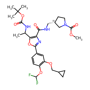 COC(=O)N1CC[C@@H](CNC(=O)c2nc(-c3ccc(OC(F)F)c(OCC4CC4)c3)oc2C(C)NC(=O)OC(C)(C)C)C1